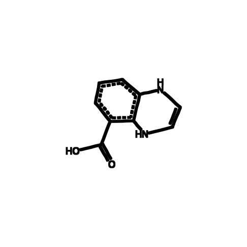 O=C(O)c1cccc2c1NC=CN2